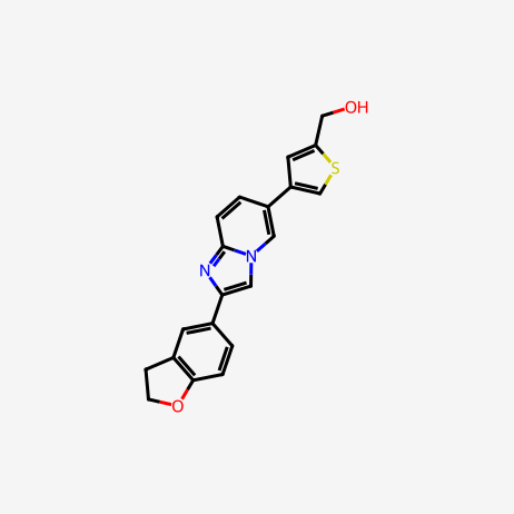 OCc1cc(-c2ccc3nc(-c4ccc5c(c4)CCO5)cn3c2)cs1